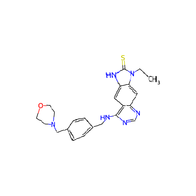 CCn1c(=S)[nH]c2cc3c(NCc4ccc(CN5CCOCC5)cc4)ncnc3cc21